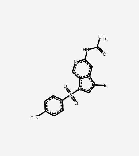 CC(=O)Nc1cc2c(Br)cn(S(=O)(=O)c3ccc(C)cc3)c2cn1